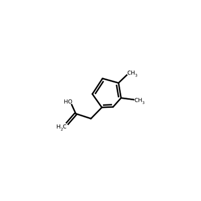 C=C(O)Cc1ccc(C)c(C)c1